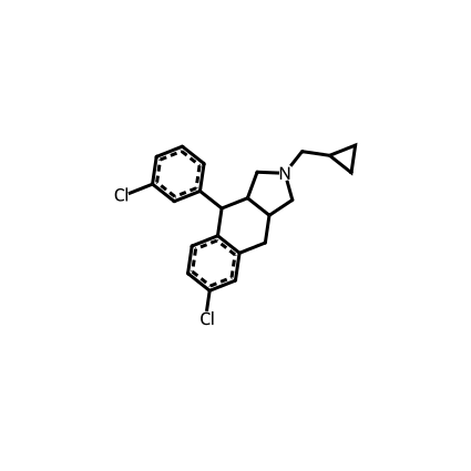 Clc1cccc(C2c3ccc(Cl)cc3CC3CN(CC4CC4)CC32)c1